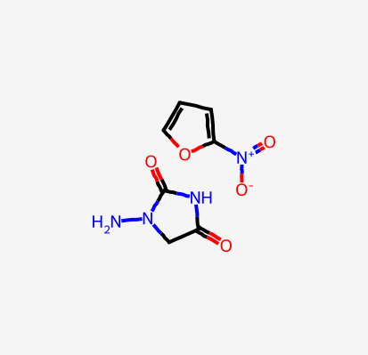 NN1CC(=O)NC1=O.O=[N+]([O-])c1ccco1